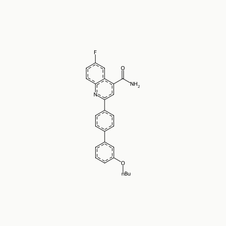 CCCCOc1cccc(-c2ccc(-c3cc(C(N)=O)c4cc(F)ccc4n3)cc2)c1